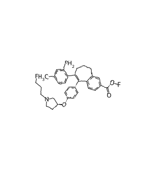 Cc1ccc(C2=C(c3ccc(O[C@H]4CCN(CCCF)C4)cc3)c3ccc(C(=O)OF)cc3CCC2)c(P)c1